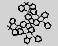 CC1(C)c2ccccc2N(c2ccc3c(c2)-c2c(ccc4c2N(c2ccccc2)c2ccccc2B4c2ccccc2)C32c3ccc(N4c5ccccc5C(C)(C)c5ccccc54)cc3-c3c2ccc2c3N(c3ccccc3)c3ccccc3B2c2ccccc2)c2ccccc21